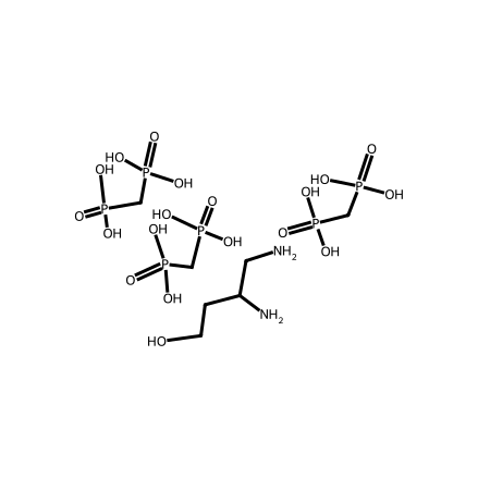 NCC(N)CCO.O=P(O)(O)CP(=O)(O)O.O=P(O)(O)CP(=O)(O)O.O=P(O)(O)CP(=O)(O)O